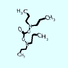 CCCN(CCC)OC(=O)ON(CCC)CCC